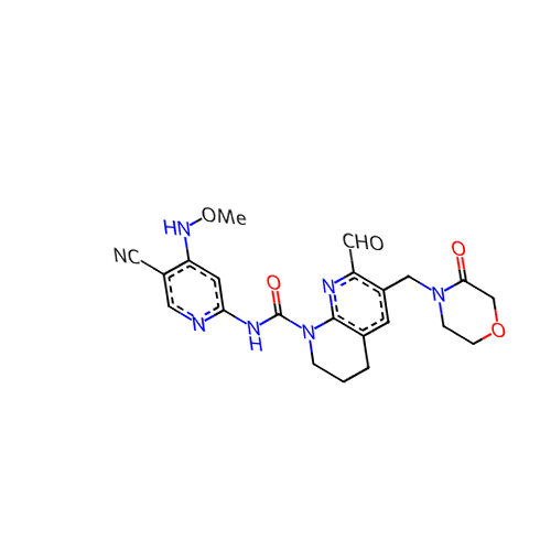 CONc1cc(NC(=O)N2CCCc3cc(CN4CCOCC4=O)c(C=O)nc32)ncc1C#N